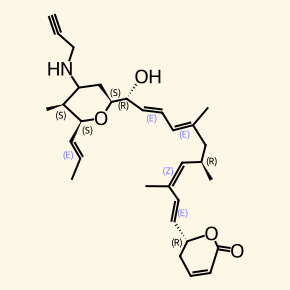 C#CCNC1C[C@@H]([C@H](O)/C=C/C=C(\C)C[C@@H](C)/C=C(C)\C=C\[C@H]2CC=CC(=O)O2)O[C@@H](/C=C/C)[C@H]1C